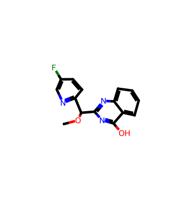 COC(c1ccc(F)cn1)c1nc(O)c2ccccc2n1